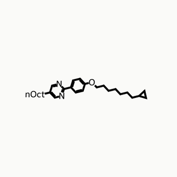 CCCCCCCCc1cnc(-c2ccc(OCCCCCCCC3CC3)cc2)nc1